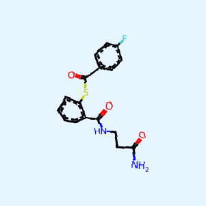 NC(=O)CCNC(=O)c1ccccc1SC(=O)c1ccc(F)cc1